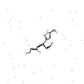 C\C=C/C(=C\C(C)=C\CC)c1cc(N)[nH]n1